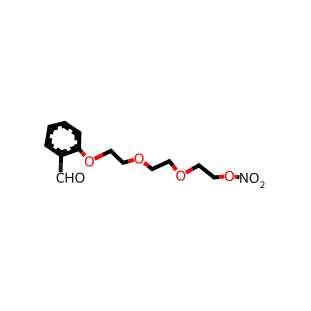 O=Cc1ccccc1OCCOCCOCCO[N+](=O)[O-]